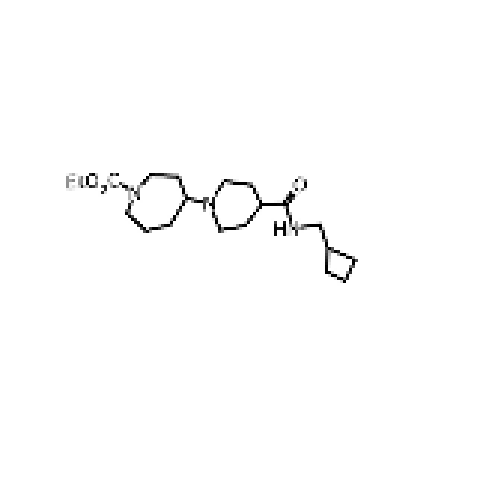 CCOC(=O)N1CCCC(N2CCC(C(=O)NCC3CCC3)CC2)CC1